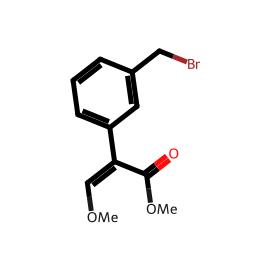 CO/C=C(\C(=O)OC)c1cccc(CBr)c1